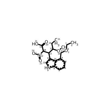 CCOCc1cccc2[nH]cc(C(C(CC)OC)C(C(=O)O)[N+](=O)[O-])c12